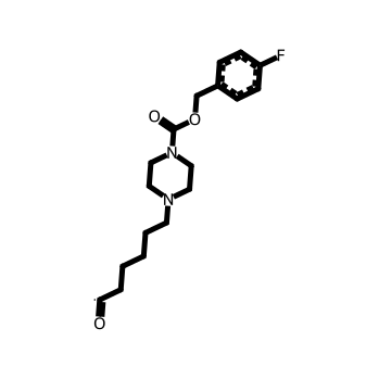 O=[C]CCCCCN1CCN(C(=O)OCc2ccc(F)cc2)CC1